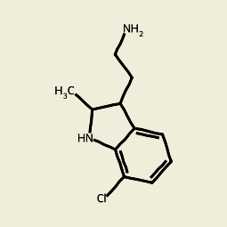 CC1Nc2c(Cl)cccc2C1CCN